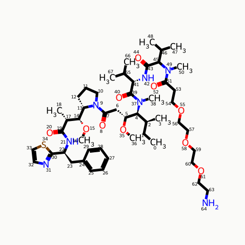 CC[C@H](C)[C@@H]([C@@H](CC(=O)N1CCC[C@H]1[C@H](OC)[C@@H](C)C(=O)N[C@@H](Cc1ccccc1)c1nccs1)OC)N(C)C(=O)[C@@H](NC(=O)C(C(C)C)N(C)C(=O)CCOCCOCCOCCN)C(C)C